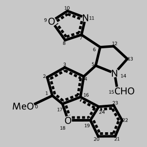 COc1ccc(C2C(c3cocn3)CCN2C=O)c2c1oc1ccccc12